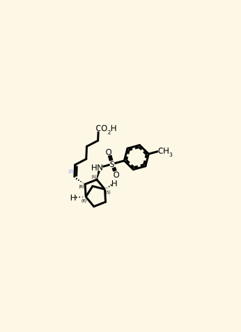 Cc1ccc(S(=O)(=O)N[C@H]2[C@H]3CC[C@H](C3)[C@@H]2/C=C\CCCC(=O)O)cc1